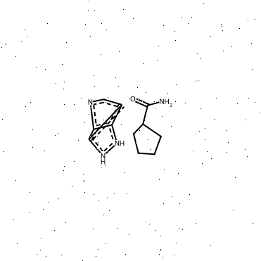 NC(=O)C1CCCC1.c1nc2c3[nH][nH]c2c13